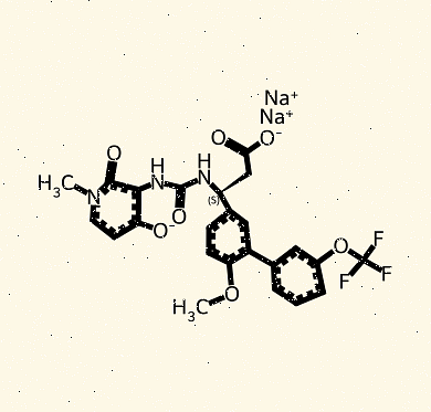 COc1ccc([C@H](CC(=O)[O-])NC(=O)Nc2c([O-])ccn(C)c2=O)cc1-c1cccc(OC(F)(F)F)c1.[Na+].[Na+]